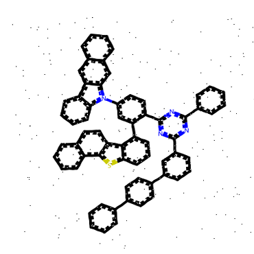 c1ccc(-c2ccc(-c3cccc(-c4nc(-c5ccccc5)nc(-c5ccc(-n6c7ccccc7c7cc8ccccc8cc76)cc5-c5cccc6sc7c8ccccc8ccc7c56)n4)c3)cc2)cc1